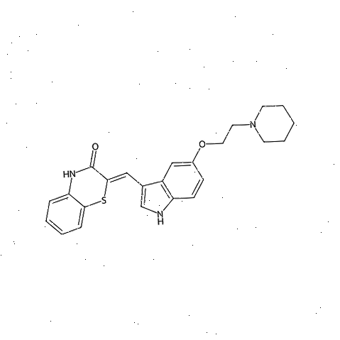 O=C1Nc2ccccc2SC1=Cc1c[nH]c2ccc(OCCN3CCCCC3)cc12